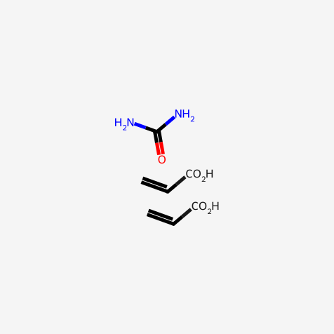 C=CC(=O)O.C=CC(=O)O.NC(N)=O